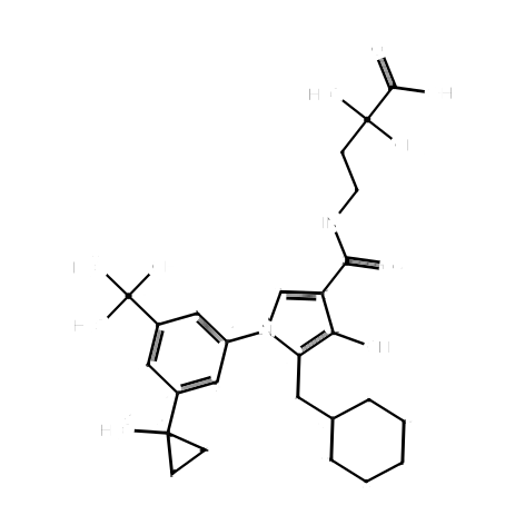 Cc1c(C(=O)NCCC(C)(C)C(=O)O)cn(-c2cc(C(C)(C)C)cc(C3(C)CC3)c2)c1CC1CCCCC1